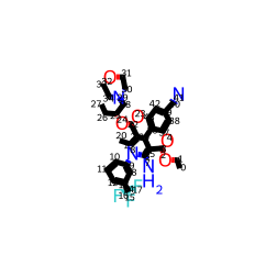 CCOC(=O)C1=C(N)N(c2cccc(C(F)(F)F)c2)C(C)=C(C(=O)OC(CC)CN2CCOCC2)C1c1ccc(C#N)cc1